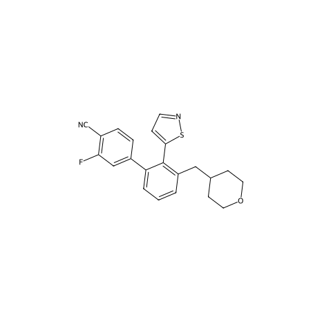 N#Cc1ccc(-c2cccc(CC3CCOCC3)c2-c2ccns2)cc1F